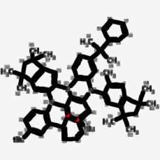 Cc1cc2c(cc1N1c3cc(C(C)(C)c4ccccc4)ccc3B3c4cc5c(cc4N(c4ccc(C(C)(C)C)cc4-c4ccccc4)c4cc(C(C)(C)C)cc1c43)C(C)(C)CC5(C)C)C(C)(C)CC2(C)C